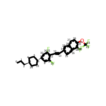 CCC[C@H]1CC[C@H](c2cc(F)c(C#Cc3ccc4c(F)c(OC(F)(F)F)ccc4c3)c(F)c2)CC1